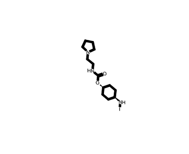 O=C(NCCN1CCCC1)O[C@H]1CC[C@H](NI)CC1